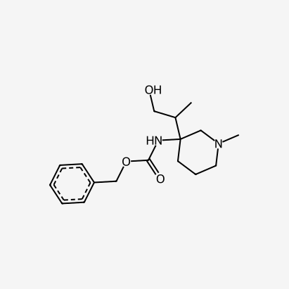 CC(CO)C1(NC(=O)OCc2ccccc2)CCCN(C)C1